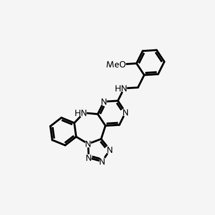 COc1ccccc1CNc1ncc2c(n1)Nc1ccccc1-n1nnnc1-2